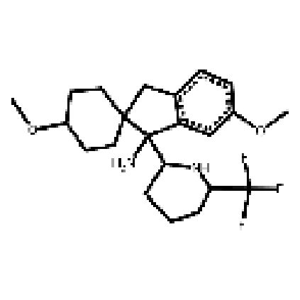 COc1ccc2c(c1)C(N)(C1CCCC(C(F)(F)F)N1)C1(CCC(OC)CC1)C2